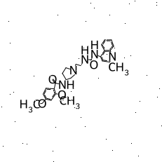 COc1ccc(C(=O)NC2CCN(CCNC(=O)Nc3cc(C)nc4ccccc34)CC2)c(OC)c1